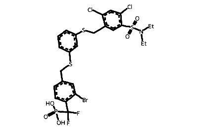 CCN(CC)S(=O)(=O)c1cc(CSc2cccc(SCc3ccc(C(F)(F)P(=O)(O)O)c(Br)c3)c2)c(Cl)cc1Cl